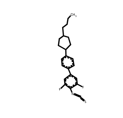 CCCCC1CCC(c2ccc(-c3cc(F)c(N=C=S)c(F)c3)cc2)CC1